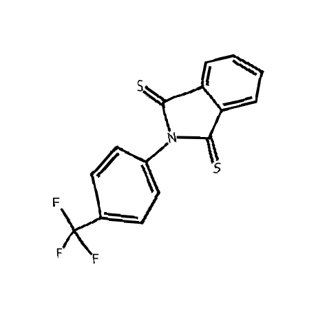 FC(F)(F)c1ccc(N2C(=S)c3ccccc3C2=S)cc1